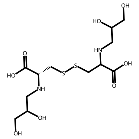 O=C(O)C(CSSC[C@H](NCC(O)CO)C(=O)O)NCC(O)CO